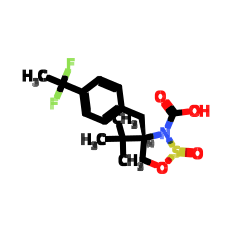 CC(F)(F)c1ccc(C[C@]2(C(C)(C)C)COS(=O)N2C(=O)O)cc1